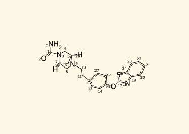 NC(=O)N1C[C@H]2C[C@@H]1CN2CCc1ccc(Oc2nc3ccccc3s2)cc1